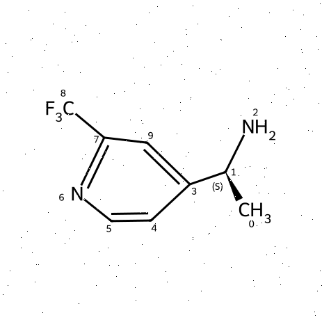 C[C@H](N)c1ccnc(C(F)(F)F)c1